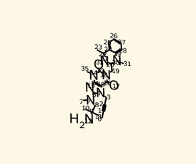 CC#CCn1c(N(C)CC(C)(C)N)nc2c1c(=O)n(CC1N=C(C)c3ccccc3N1C)c(=O)n2C